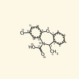 CC1c2ccccc2Oc2ccc(Cl)cc2N1C(=O)O